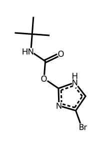 CC(C)(C)NC(=O)Oc1nc(Br)c[nH]1